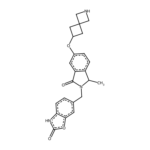 CC1c2ccc(OC3CC4(CNC4)C3)cc2C(=O)N1Cc1ccc2[nH]c(=O)oc2c1